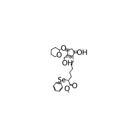 COC(=O)C(CCCCC[C@@H]1[C@@H](CO)[C@H](OC2CCCCO2)C[C@@H]1O)[Se]c1ccccc1